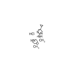 C[C@@H]1CN[C@H](CNc2ncc(C3CC3)cn2)[C@H](C)O1.Cl